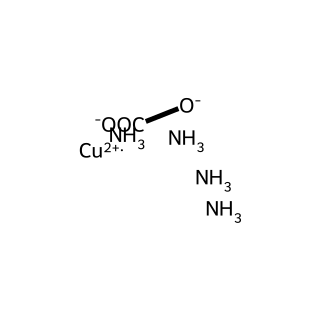 N.N.N.N.O=C([O-])[O-].[Cu+2]